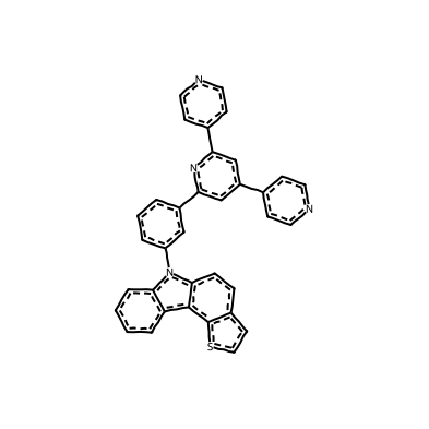 c1cc(-c2cc(-c3ccncc3)cc(-c3ccncc3)n2)cc(-n2c3ccccc3c3c4sccc4ccc32)c1